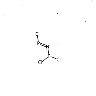 ClP=NP(Cl)Cl